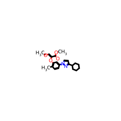 CO/C=C(\Oc1cc(-n2ccc(C3CCCCC3)n2)ccc1C)C(=O)OC